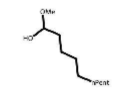 CCCCCCCCCC(O)OC